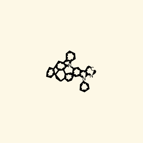 c1ccc(-n2c3ccc(-n4c5ccccc5c5cc6c7c(c54)-c4ccccc4C(CC7)c4ccccc4-6)cc3c3cccnc32)cc1